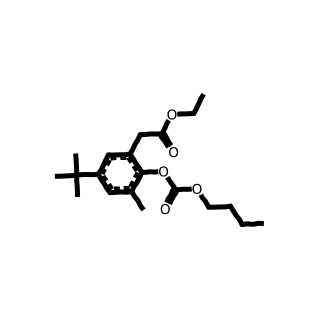 CCCCOC(=O)Oc1c(C)cc(C(C)(C)C)cc1CC(=O)OCC